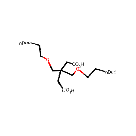 CCCCCCCCCCCCOCC(COCCCCCCCCCCCC)(CC(=O)O)CC(=O)O